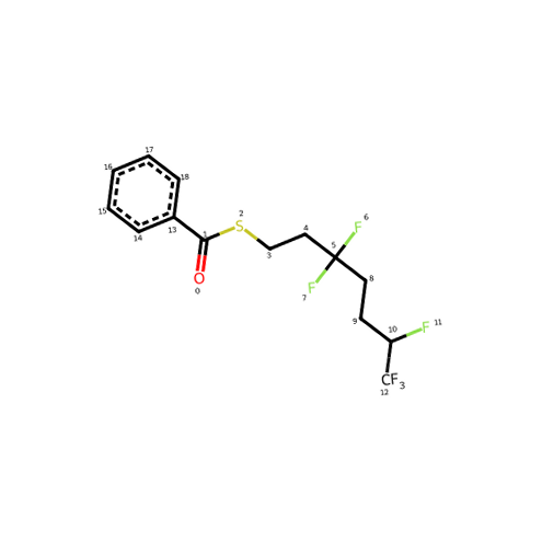 O=C(SCCC(F)(F)CCC(F)C(F)(F)F)c1ccccc1